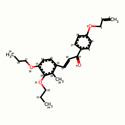 C=CCOc1ccc(C(=O)C=Cc2ccc(OCCC)c(OCCC)c2C)cc1